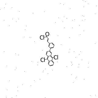 O=C(Cl)/C=C/c1cccc(-c2ccc3c(Cl)c4ccccc4c(Cl)c3c2)c1